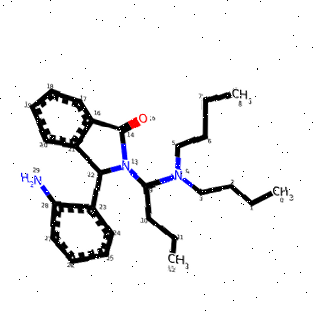 CCCCN(CCCC)C(CCC)N1C(=O)c2ccccc2C1c1ccccc1N